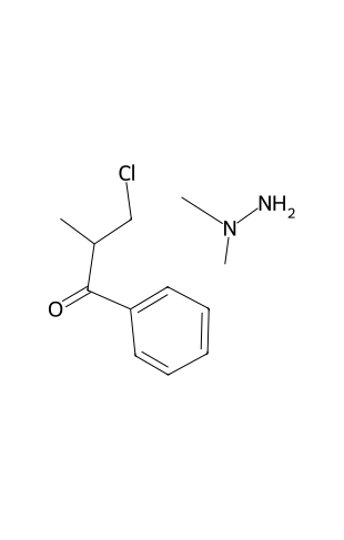 CC(CCl)C(=O)c1ccccc1.CN(C)N